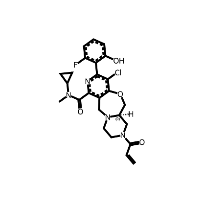 C=CC(=O)N1CCN2Cc3c(C(=O)N(C)C4CC4)nc(-c4c(O)cccc4F)c(Cl)c3OC[C@H]2C1